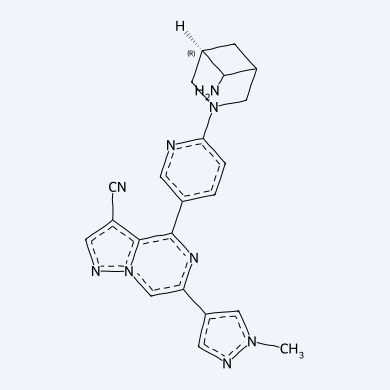 Cn1cc(-c2cn3ncc(C#N)c3c(-c3ccc(N4CC5C[C@H](C4)C5N)nc3)n2)cn1